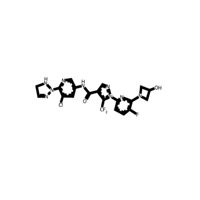 O=C(Nc1cnc(N2N=CCN2)c(Cl)c1)c1cnn(-c2ccc(F)c(N3CC(O)C3)n2)c1C(F)(F)F